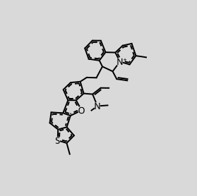 C=CC1C(CCc2ccc3c(oc4c5cc(C)sc5ccc34)c2/C(=C/C)N(C)C)c2ccccc2-c2ccc(C)c[n+]21